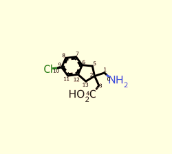 NCC1(CC(=O)O)Cc2ccc(Cl)cc2C1